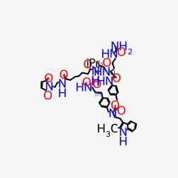 Cc1[nH]c2ccccc2c1CCN(Cc1ccc(/C=C/C(=O)NO)cc1)C(=O)OCc1ccc(NC(=O)[C@H](CCCNC(N)=O)NC(=O)[C@@H](NC(=O)CCCCCC(=O)NCCN2C(=O)C=CC2=O)C(C)C)cc1